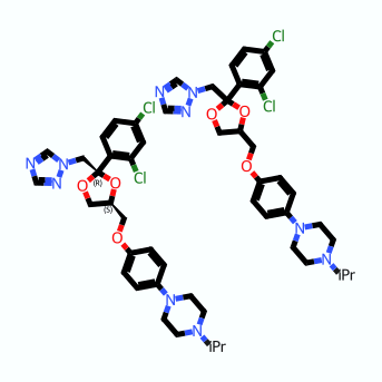 CC(C)N1CCN(c2ccc(OCC3COC(Cn4cncn4)(c4ccc(Cl)cc4Cl)O3)cc2)CC1.CC(C)N1CCN(c2ccc(OC[C@H]3CO[C@](Cn4cncn4)(c4ccc(Cl)cc4Cl)O3)cc2)CC1